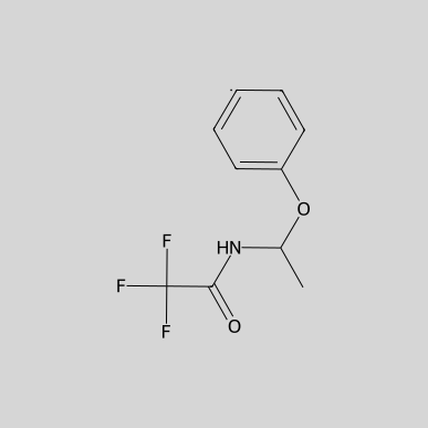 CC(NC(=O)C(F)(F)F)Oc1cc[c]cc1